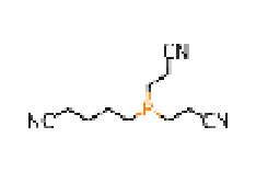 N#CCCCCP(CCC#N)CCC#N